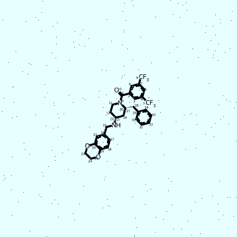 O=C(c1cc(C(F)(F)F)cc(C(F)(F)F)c1)N1CC[C@H](NCc2ccc3c(c2)OCCO3)C[C@H]1Cc1ccccc1